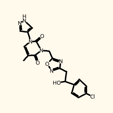 Cc1cn(-c2cn[nH]c2)c(=O)n(Cc2nc(CC(O)c3ccc(Cl)cc3)no2)c1=O